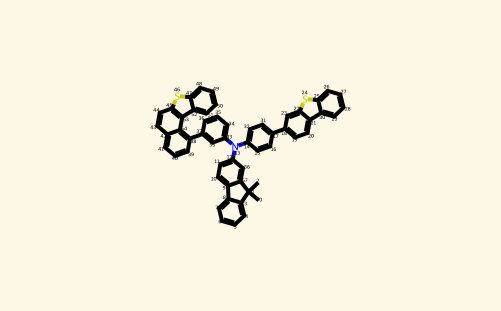 CC1(C)c2ccccc2-c2ccc(N(c3ccc(-c4ccc5c(c4)sc4ccccc45)cc3)c3cccc(-c4cccc5ccc6sc7ccccc7c6c45)c3)cc21